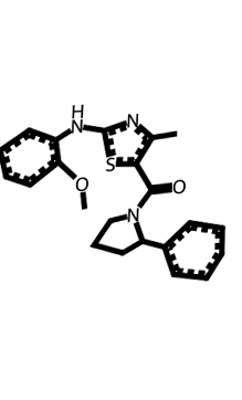 COc1ccccc1Nc1nc(C)c(C(=O)N2CCCC2c2ccccc2)s1